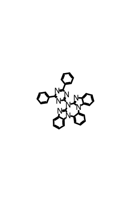 c1ccc(-c2nc(-c3ccccc3)nc(-n3c4nc5ccccc5n4c4ccccc4n4c5ccccc5nc34)n2)cc1